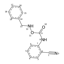 N#Cc1ccccc1NC(=O)ONCc1ccccc1